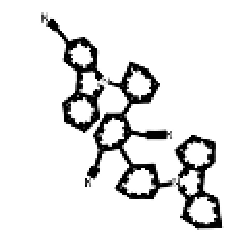 N#Cc1ccc2c(c1)c1ccccc1n2-c1ccccc1-c1ccc(C#N)c(-c2cccc(-n3c4ccccc4c4ccccc43)c2)c1C#N